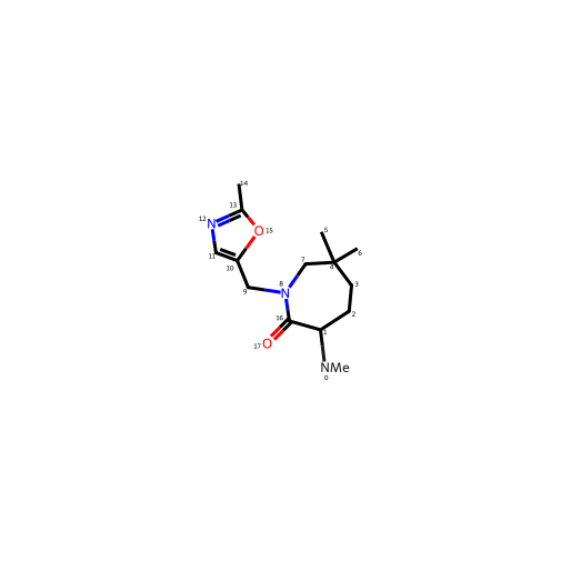 CNC1CCC(C)(C)CN(Cc2cnc(C)o2)C1=O